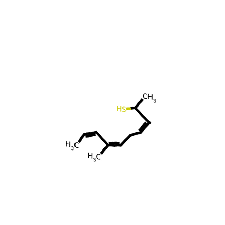 C/C=C\C(C)=C/C/C=C\C(C)S